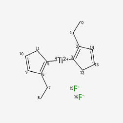 CCC1=[C]([Ti+2][C]2=C(CC)C=CC2)CC=C1.[F-].[F-]